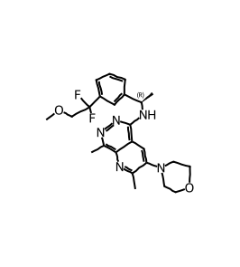 COCC(F)(F)c1cccc([C@@H](C)Nc2nnc(C)c3nc(C)c(N4CCOCC4)cc23)c1